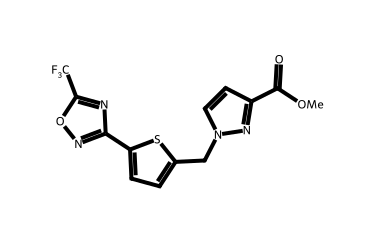 COC(=O)c1ccn(Cc2ccc(-c3noc(C(F)(F)F)n3)s2)n1